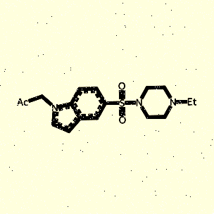 CCN1CCN(S(=O)(=O)c2ccc3c(ccn3CC(C)=O)c2)CC1